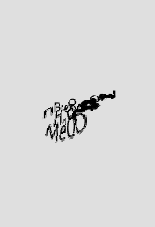 CCCCOC(=O)NC(C)(Cc1ccc(OCCCI)cc1)C(=O)OC